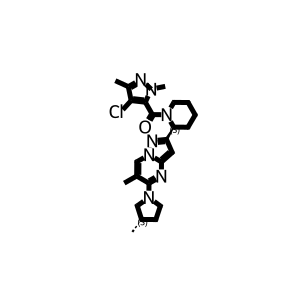 Cc1cn2nc([C@@H]3CCCCN3C(=O)c3c(Cl)c(C)nn3C)cc2nc1N1CC[C@H](C)C1